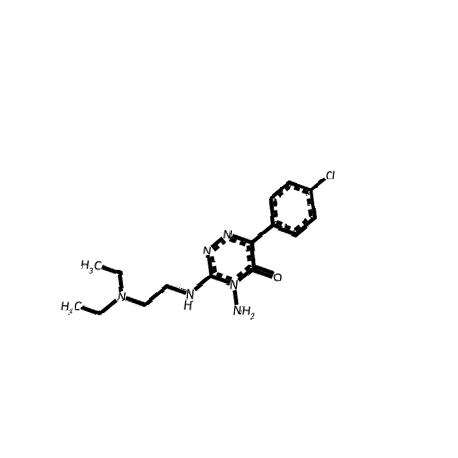 CCN(CC)CCNc1nnc(-c2ccc(Cl)cc2)c(=O)n1N